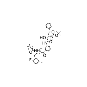 CC(C)(C)OC(=O)NC(CNC(=O)c1cccc(NC(=O)C(O)C(CCc2ccccc2)NC(=O)OC(C)(C)C)c1)Cc1cc(F)ccc1F